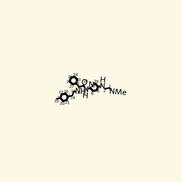 CNCCNc1ccc(NC(=O)C(NCCc2ccc(C)cc2)c2ccccc2)nc1